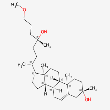 COCCC[C@](C)(O)CC[C@@H](C)[C@H]1CC[C@H]2[C@@H]3CC=C4C[C@@](C)(O)CC[C@]4(C)[C@H]3CC[C@]12C